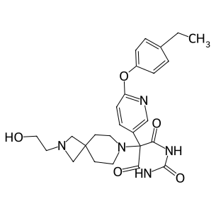 CCc1ccc(Oc2ccc(C3(N4CCC5(CC4)CN(CCO)C5)C(=O)NC(=O)NC3=O)cn2)cc1